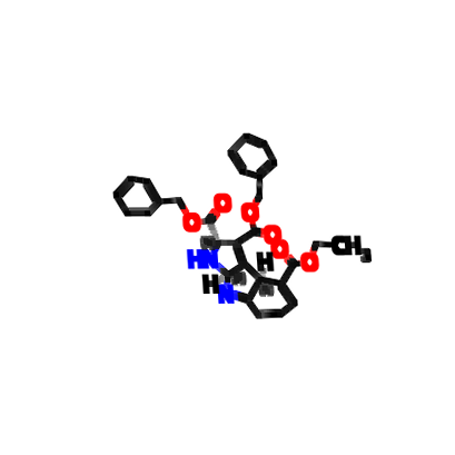 CCOC(=O)C1=CC=CC2=N[C@H]3N[C@H](C(=O)OCc4ccccc4)C(C(=O)OCc4ccccc4)=C3[C@@H]12